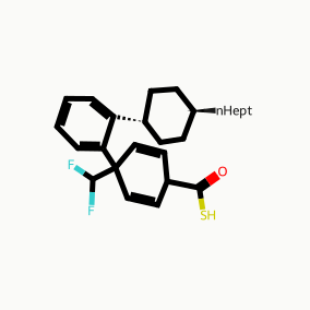 CCCCCCC[C@H]1CC[C@H](c2ccccc2C2(C(F)F)C=CC(C(=O)S)C=C2)CC1